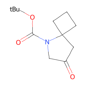 CC(C)(C)OC(=O)N1CC(=O)CC12CCC2